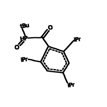 CC(C)c1cc(C(C)C)c(C(=O)[PH](=O)C(C)(C)C)c(C(C)C)c1